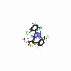 Cc1csc(-c2cccc(SCF)c2)c1-c1nc(-c2c(F)cccc2Cl)nn1C